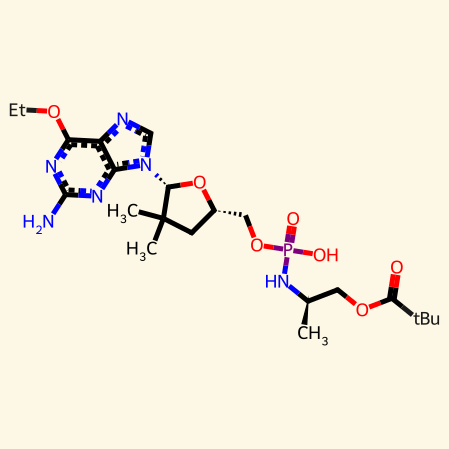 CCOc1nc(N)nc2c1ncn2[C@@H]1O[C@H](COP(=O)(O)N[C@H](C)COC(=O)C(C)(C)C)CC1(C)C